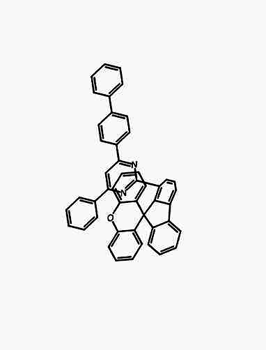 c1ccc(-c2ccc(-c3cc(-c4ccccc4)nc(-c4cccc5c4C4(c6ccccc6Oc6ccccc64)c4ccccc4-5)n3)cc2)cc1